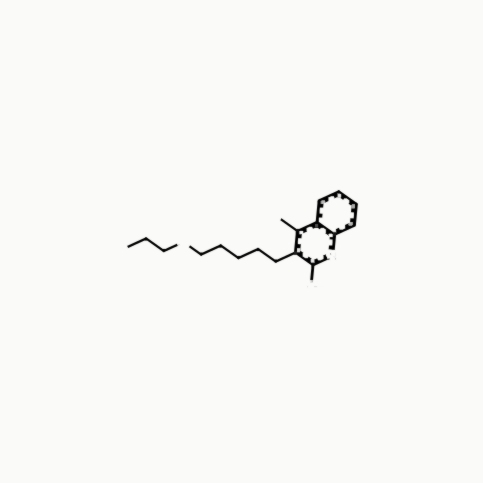 CCCOCCCCCc1c(O)nc2ccccc2c1C